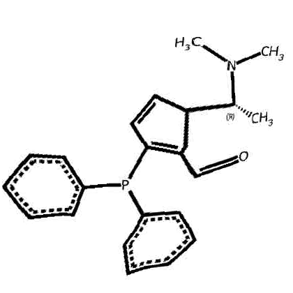 C[C@H](C1C=CC(P(c2ccccc2)c2ccccc2)=C1C=O)N(C)C